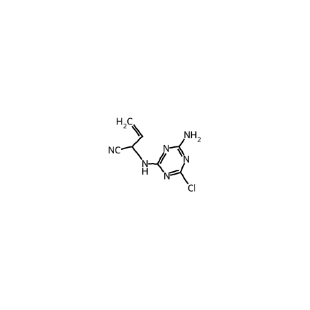 C=CC(C#N)Nc1nc(N)nc(Cl)n1